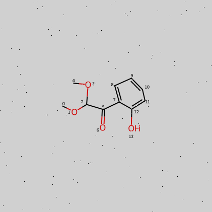 COC(OC)C(=O)c1ccccc1O